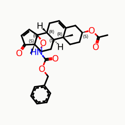 CC(=O)O[C@H]1CC[C@@]2(C)C(=CC[C@@H]3[C@@H]2CC[C@]2(C)C(=O)C=C[C@]32ONC(=O)OCc2ccccc2)C1